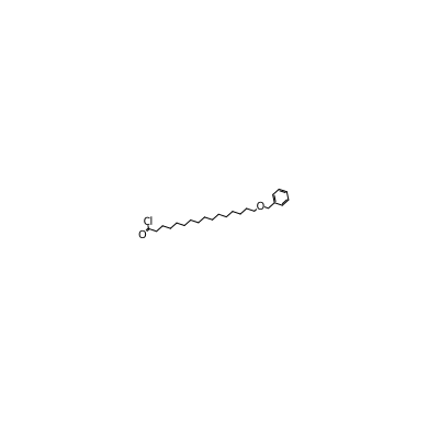 O=C(Cl)CCCCCCCCCCCCCCCOCc1ccccc1